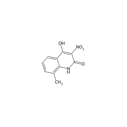 Cc1cccc2c(O)c([N+](=O)[O-])c(=O)[nH]c12